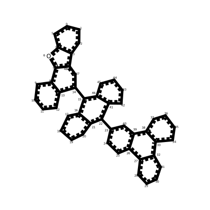 c1ccc2c(c1)oc1c3ccccc3c(-c3c4ccccc4c(-c4ccc5c6ccccc6c6ccccc6c5c4)c4ccccc34)cc21